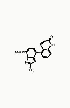 COc1ccc(-c2cccc3[nH]c(=O)ccc23)c2cc(C(F)(F)F)nn12